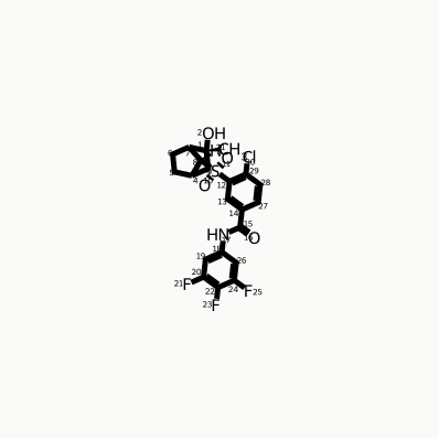 C[C@@]1(O)CC2CCC1[C@@H]2S(=O)(=O)c1cc(C(=O)Nc2cc(F)c(F)c(F)c2)ccc1Cl